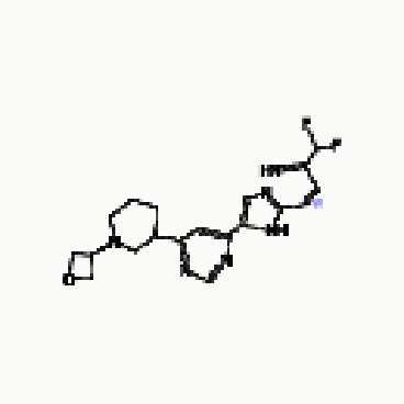 N=C(/C=C\c1ncc(-c2cc(C3CCCN(C4COC4)C3)ncn2)[nH]1)C(F)F